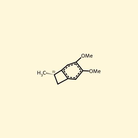 COc1cc2c(cc1OC)[C@@H](C)C2